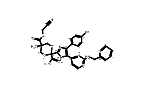 CC1(C(=O)OCC#N)COC(C(N)=O)(c2nc(-c3ccc(F)cc3)c(-c3ccnc(NCc4ccccn4)n3)[nH]2)OC1